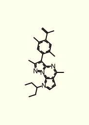 C=C(C)c1cc(C)c(-c2c(C)nn3c2nc(C)c2ccn(C(CC)CC)c23)cc1C